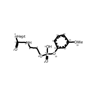 CCCCCCCC(=O)NCCOP(=O)(O)Oc1cccc(OC)c1